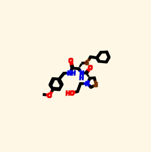 COc1ccc(CNC(=O)[C@H](CSCC2CCCCC2)NC(=O)[C@@H]2CSCN2CCO)cc1